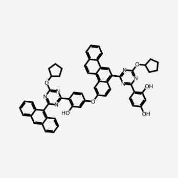 Oc1ccc(-c2nc(OC3CCCC3)nc(-c3cc4c5ccccc5ccc4c4cc(Oc5ccc(-c6nc(OC7CCCC7)nc(-c7c8ccccc8cc8ccccc78)n6)c(O)c5)ccc34)n2)c(O)c1